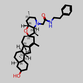 CC1=C2C[C@H]3[C@@H](CC[C@@H]4CC(O)CC[C@@]43C)[C@@H]2CC[C@@]2(C1)O[C@@H]1C[C@H](C)CN(CC(=O)NCCc3ccccc3)[C@H]1[C@H]2C